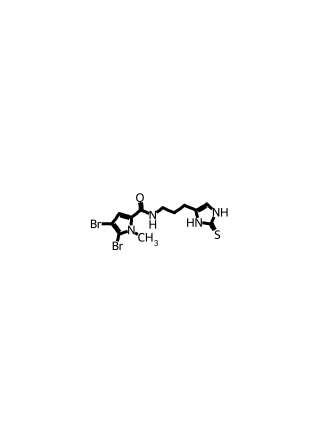 Cn1c(C(=O)NCCCc2c[nH]c(=S)[nH]2)cc(Br)c1Br